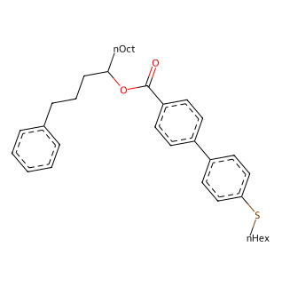 CCCCCCCCC(CCCc1ccccc1)OC(=O)c1ccc(-c2ccc(SCCCCCC)cc2)cc1